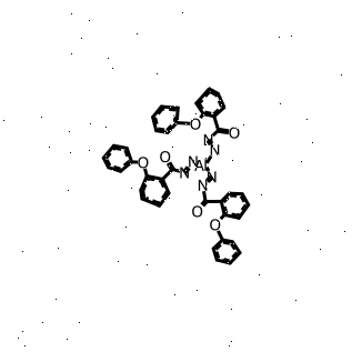 O=C(N=[N][Al]([N]=NC(=O)c1ccccc1Oc1ccccc1)[N]=NC(=O)c1ccccc1Oc1ccccc1)c1ccccc1Oc1ccccc1